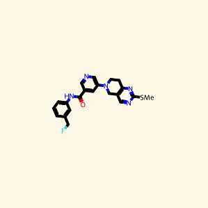 CSc1ncc2c(n1)CCN(c1cncc(C(=O)Nc3cccc(CF)c3)c1)C2